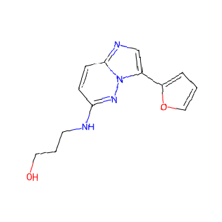 OCCCNc1ccc2ncc(-c3ccco3)n2n1